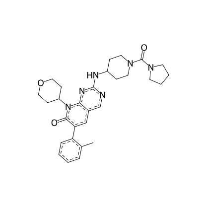 Cc1ccccc1-c1cc2cnc(NC3CCN(C(=O)N4CCCC4)CC3)nc2n(C2CCOCC2)c1=O